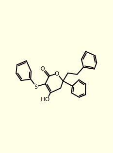 O=C1OC(CCc2ccccc2)(c2ccccc2)CC(O)=C1Sc1ccccc1